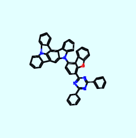 C1=CCC(c2nc(-c3ccccc3)nc(-c3ccc(-n4c5ccccc5c5c6c7ccccc7n7c8ccccc8c(cc54)c67)c4c3oc3ccccc34)n2)C=C1